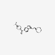 CC(C)N1CCN(C(=O)c2ccc3c(ccn3CCN3CCCCCC3)c2)CC1